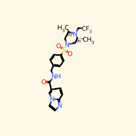 C[C@@H]1CN(S(=O)(=O)c2ccc(CNC(=O)c3ccc4nccn4c3)cc2)C[C@H](C)N1CC(F)(F)F